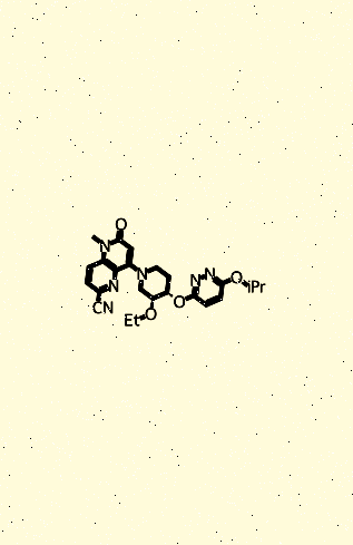 CCO[C@H]1CN(c2cc(=O)n(C)c3ccc(C#N)nc23)CC[C@@H]1Oc1ccc(OC(C)C)nn1